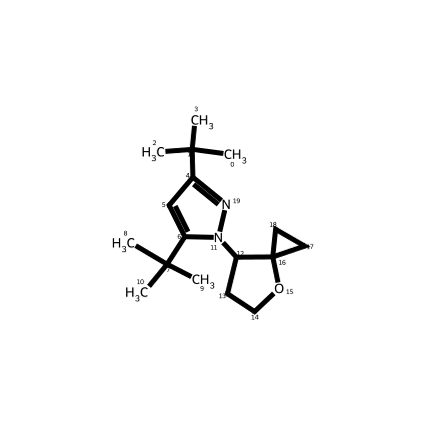 CC(C)(C)c1cc(C(C)(C)C)n(C2CCOC23CC3)n1